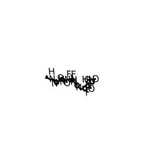 O=C1CCC(N2Cc3cc(CN4CCC(n5cc(NC(=O)c6coc(-c7ccnc(NCC8CC8)c7)n6)c(C(F)F)n5)CC4)cc(F)c3C2=O)C(=O)N1